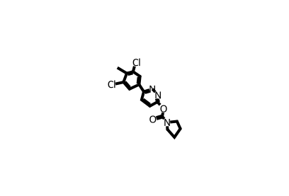 Cc1c(Cl)cc(-c2ccc(OC(=O)N3CCCC3)nn2)cc1Cl